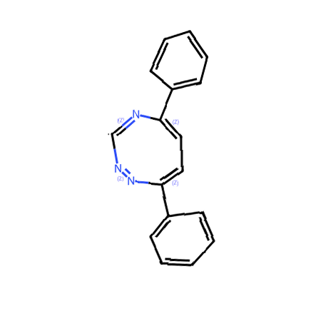 [C]1=N\C(c2ccccc2)=C/C=C(c2ccccc2)\N=N/1